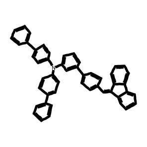 C(=C1c2ccccc2-c2ccccc21)c1ccc(-c2cccc(N(c3ccc(-c4ccccc4)cc3)c3ccc(-c4ccccc4)cc3)c2)cc1